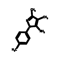 Cc1ccc(-n2nc(C)c(C)c2N)cc1